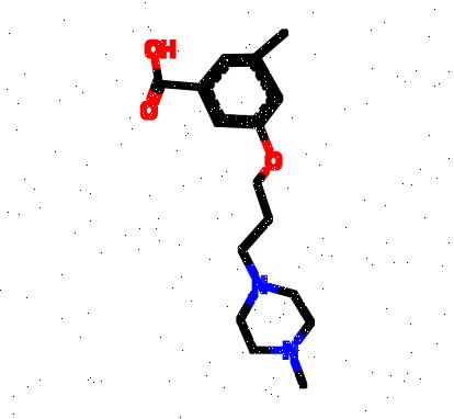 Cc1cc(OCCCN2CCN(C)CC2)cc(C(=O)O)c1